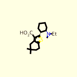 CCN(C)[C@H]1CCCC[C@H]1c1sc2c(c1C(=O)O)CC(C)(C)CC2